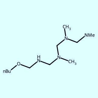 CCCCOCNCN(C)CN(C)CNC